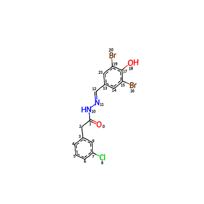 O=C(Cc1cccc(Cl)c1)NN=Cc1cc(Br)c(O)c(Br)c1